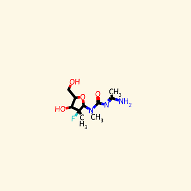 C/C(N)=N\C(=O)N(C)C1OC(CO)C(O)C1(C)F